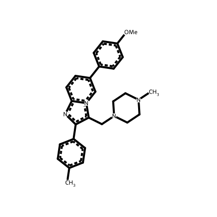 COc1ccc(-c2ccc3nc(-c4ccc(C)cc4)c(CN4CCN(C)CC4)n3c2)cc1